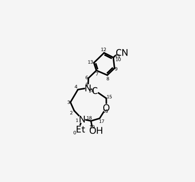 CCN1CCCN(Cc2ccc(C#N)cc2)CCOCC1O